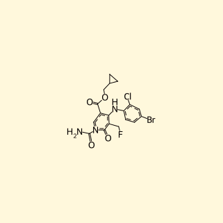 NC(=O)n1cc(C(=O)OCC2CC2)c(Nc2ccc(Br)cc2Cl)c(CF)c1=O